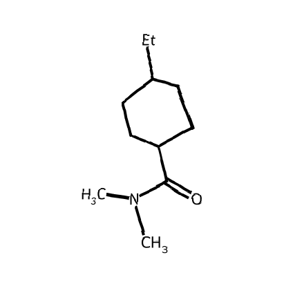 CCC1CCC(C(=O)N(C)C)CC1